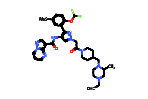 CSc1ccc(OC(F)F)c(-c2nn(CC(=O)N3CCC(CN4CCN(CC=O)CC4C)CC3)cc2NC(=O)c2cnn3cccnc23)c1